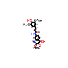 CCCCCCOc1c(O)c2ccc(NC(=O)/C=C/c3cc(OC)c(O)c(OC)c3)cc2n(C)c1=O